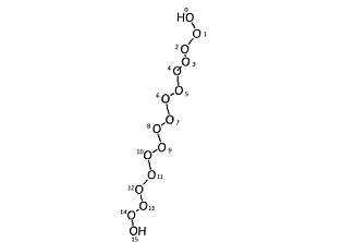 OOOOOOOOOOOOOOOO